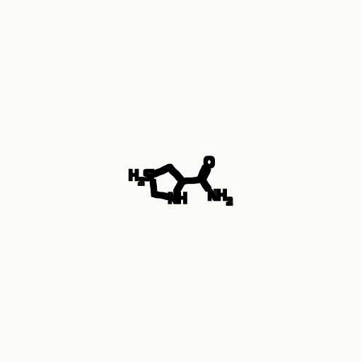 NC(=O)C1C[SiH2]CN1